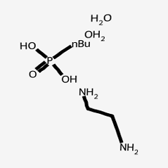 CCCCP(=O)(O)O.NCCN.O.O